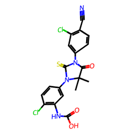 CC1(C)C(=O)N(c2ccc(C#N)c(Cl)c2)C(=S)N1c1ccc(Cl)c(NC(=O)O)c1